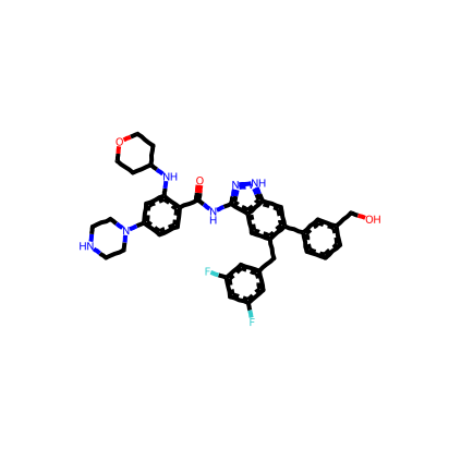 O=C(Nc1n[nH]c2cc(-c3cccc(CO)c3)c(Cc3cc(F)cc(F)c3)cc12)c1ccc(N2CCNCC2)cc1NC1CCOCC1